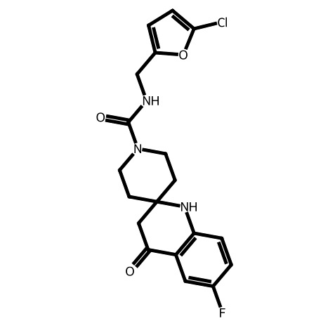 O=C1CC2(CCN(C(=O)NCc3ccc(Cl)o3)CC2)Nc2ccc(F)cc21